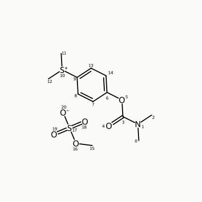 CN(C)C(=O)Oc1ccc([S+](C)C)cc1.COS(=O)(=O)[O-]